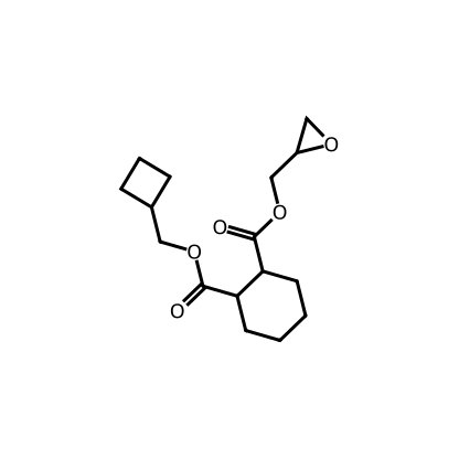 O=C(OCC1CCC1)C1CCCCC1C(=O)OCC1CO1